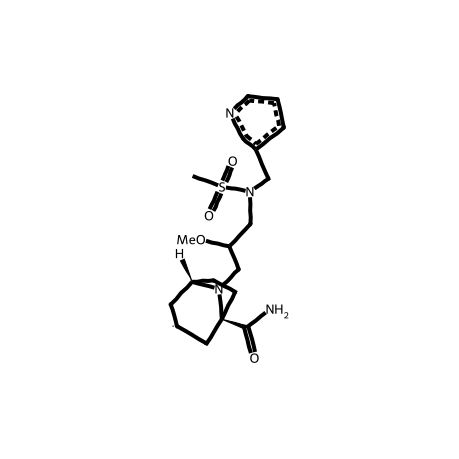 COC(CN1[C@@H]2C[CH]C[C@@]1(C(N)=O)CC2)CN(Cc1cccnc1)S(C)(=O)=O